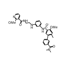 COc1cc(C)c(-c2cccc(C(=O)N(C)C)c2)cc1[S+]([O-])Nc1cccc(NCCNC(=O)c2cccnc2OC)c1